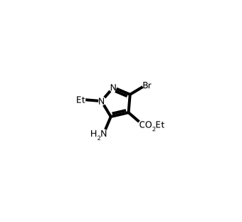 CCOC(=O)c1c(Br)nn(CC)c1N